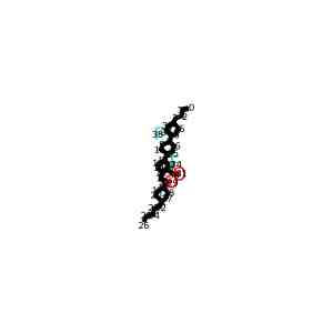 C=CCCc1ccc(C2CCC(c3ccc4cc(C5CCC(CCCCC)CC5)oc(=O)c4c3F)CC2)c(F)c1